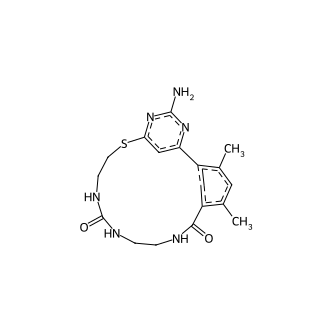 Cc1cc(C)c2cc1C(=O)NCCNC(=O)NCCSc1cc-2nc(N)n1